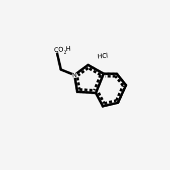 Cl.O=C(O)Cn1cc2ccccc2c1